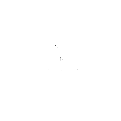 Cc1ccsc1C(=NC#N)Nc1ccncc1